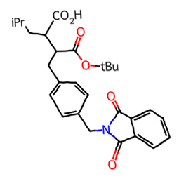 CC(C)CC(C(=O)O)C(Cc1ccc(CN2C(=O)c3ccccc3C2=O)cc1)C(=O)OC(C)(C)C